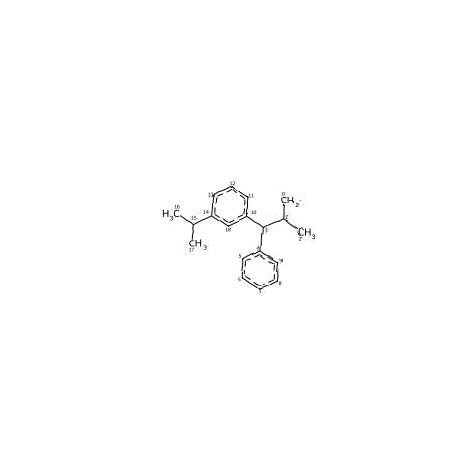 [CH2]C(C)C(c1ccccc1)c1cccc(C(C)C)c1